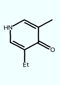 [CH2]Cc1c[nH]cc(C)c1=O